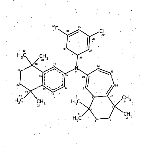 CC1(C)CCC(C)(C)C2C=C(N(c3ccc4c(c3)C(C)(C)CCC4(C)C)C3C=C(Cl)C=C(F)C3)C=CC=C21